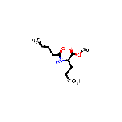 C=CCCC(=O)NC(CCC(=O)O)C(=O)OC(C)(C)C